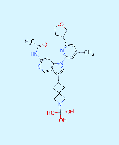 CC(=O)Nc1cc2c(cn1)c(C1CC3(C1)CN(C(O)(O)O)C3)cn2-c1cc(C)cc(C2CCOC2)n1